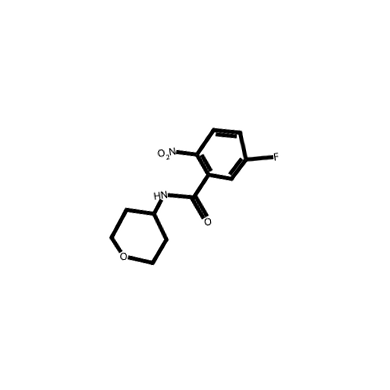 O=C(NC1CCOCC1)c1cc(F)ccc1[N+](=O)[O-]